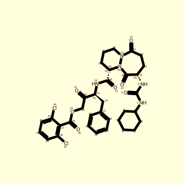 O=C(NC1CCCCC1)N[C@H]1CCC(=O)N2CCC[C@@H](C(=O)N[C@@H](Cc3ccccc3)C(=O)COC(=O)c3c(Cl)cccc3Cl)N2C1=O